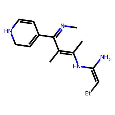 CC/C=C(/N)N/C(C)=C(C)/C(=N\C)C1=CCNC=C1